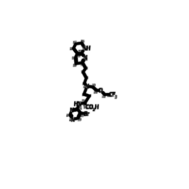 O=C(O)[C@H](CCN(CCCCc1ccc2c(n1)NCCC2)CCOCC(F)(F)F)Nc1ncncc1Br